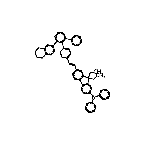 CCC1(CC)c2cc(/C=C/C3=CC=C(c4c(-c5ccccc5)cccc4-c4ccc5c(c4)CCCC5)CC3)ccc2-c2ccc(N(c3ccccc3)c3ccccc3)cc21